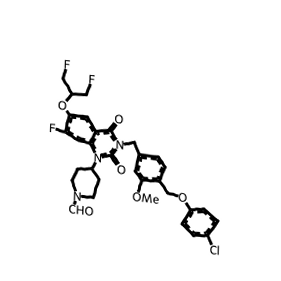 COc1cc(Cn2c(=O)c3cc(OC(CF)CF)c(F)cc3n(C3CCN(C=O)CC3)c2=O)ccc1COc1ccc(Cl)cc1